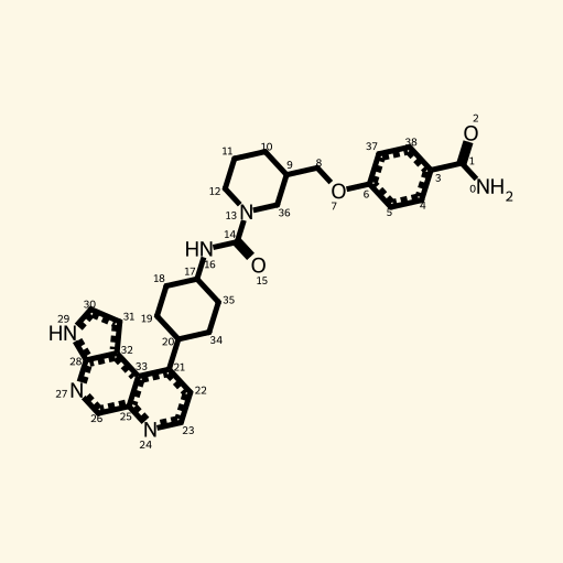 NC(=O)c1ccc(OCC2CCCN(C(=O)NC3CCC(c4ccnc5cnc6[nH]ccc6c45)CC3)C2)cc1